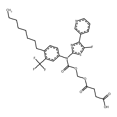 CCCCCCCCc1ccc(N(C(=O)OCOC(=O)CCC(=O)O)c2nc(-c3cccnc3)c(F)s2)cc1C(F)(F)F